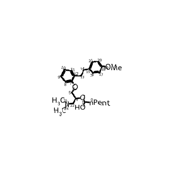 CCCCCC(O)OC(COc1ccccc1CCc1ccc(OC)cc1)CN(C)C